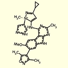 COc1cc2c(cc1-c1c(C)noc1C)[nH]c1nc(C)nc(NC3=CC(C4CC4)=N[N@+]3(C)c3cn[nH]c3)c12